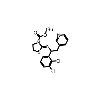 CC(C)(C)OC(=O)N1CCSC1=NC(Cc1cccnc1)c1cccc(Cl)c1Cl